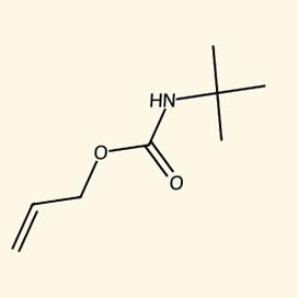 C=CCOC(=O)NC(C)(C)C